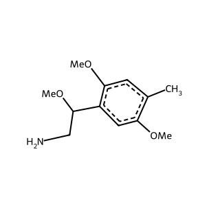 COc1cc(C(CN)OC)c(OC)cc1C